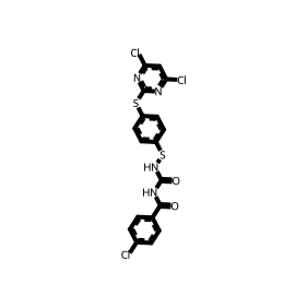 O=C(NSc1ccc(Sc2nc(Cl)cc(Cl)n2)cc1)NC(=O)c1ccc(Cl)cc1